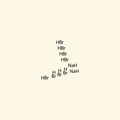 Br.Br.Br.Br.Br.Br.Br.Br.[NaH].[NaH]